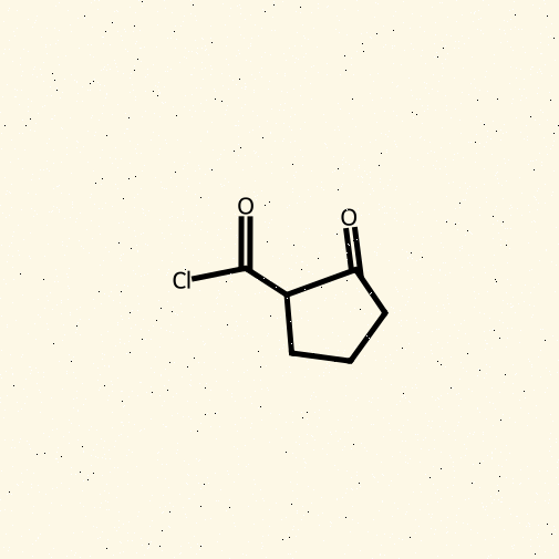 O=C(Cl)C1CCCC1=O